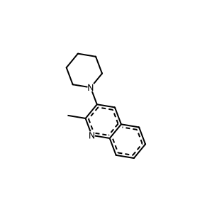 Cc1nc2ccccc2cc1N1CCCCC1